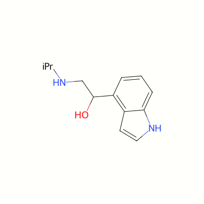 CC(C)NCC(O)c1cccc2[nH]ccc12